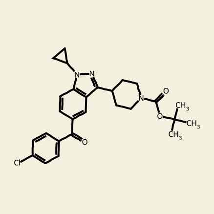 CC(C)(C)OC(=O)N1CCC(c2nn(C3CC3)c3ccc(C(=O)c4ccc(Cl)cc4)cc23)CC1